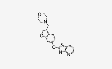 c1cnc2nc(Oc3ccc4c(CN5CCOCC5)coc4c3)sc2c1